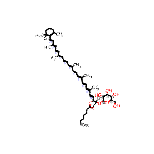 CCCCCCCCCCCCCCCC(=O)OC(/C=C/C(C)=C/C=C/C(C)=C/C=C/C(C)=C/C=C/C=C(C)/C=C/C=C(C)/C=C/C1=C(C)CCCC1(C)C)C(C)(C)O[C@@H]1O[C@H](CO)[C@@H](O)[C@H](O)[C@H]1O